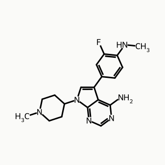 CNc1ccc(-c2cn(C3CCN(C)CC3)c3ncnc(N)c23)cc1F